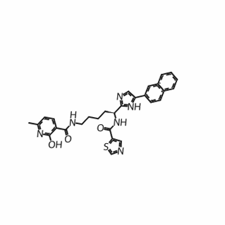 Cc1ccc(C(=O)NCCCC[C@H](NC(=O)c2cncs2)c2ncc(-c3ccc4ccccc4c3)[nH]2)c(O)n1